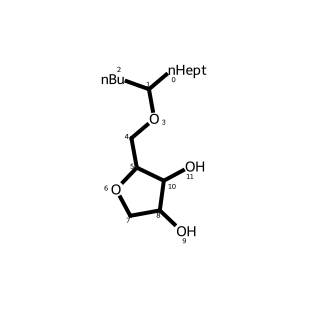 CCCCCCCC(CCCC)OCC1OCC(O)C1O